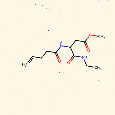 C=CCCC(=O)NC(CC(=O)OC)C(=O)NCC